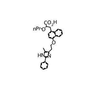 CCCOC(Cc1ccc(OCCc2nc(-c3ccccc3)[nH]c2C)c2ccccc12)C(=O)O